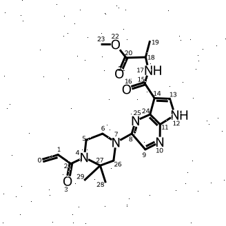 C=CC(=O)N1CCN(c2cnc3[nH]cc(C(=O)NC(C)C(=O)OC)c3n2)CC1(C)C